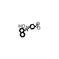 O=S(=O)=C1C=CC(N=Nc2c(O)ccc3ccccc23)=CC1